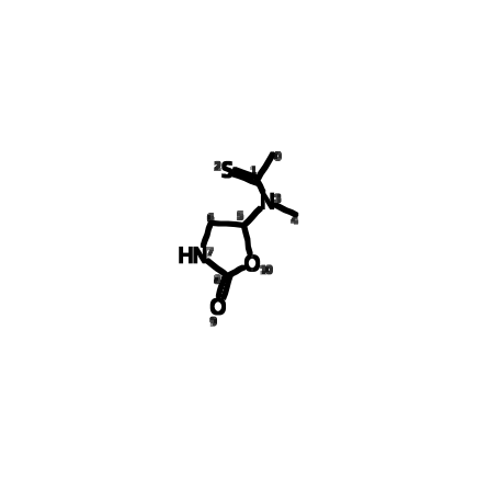 CC(=S)N(C)C1CNC(=O)O1